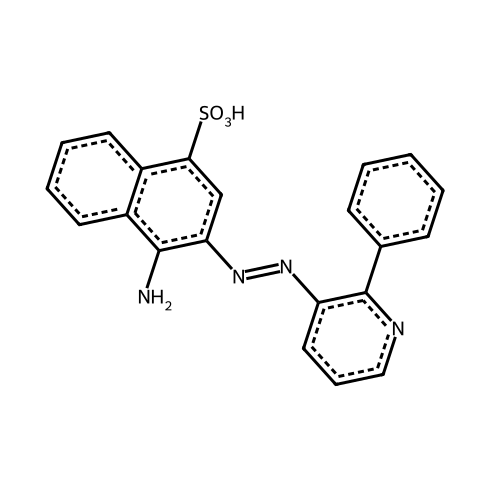 Nc1c(N=Nc2cccnc2-c2ccccc2)cc(S(=O)(=O)O)c2ccccc12